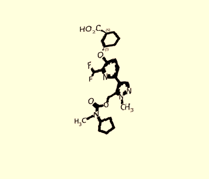 CN(C(=O)OCc1c(-c2ccc(O[C@H]3CCC[C@H](C(=O)O)C3)c(C(F)F)n2)cnn1C)C1CCCC1